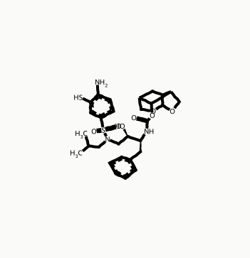 CC(C)CN(C[C@@H](O)[C@H](Cc1ccccc1)NC(=O)OC1C2COC3OCC1C3C2)S(=O)(=O)c1ccc(N)c(S)c1